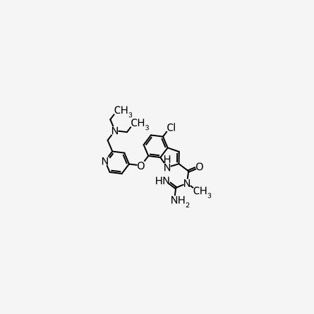 CCN(CC)Cc1cc(Oc2ccc(Cl)c3cc(C(=O)N(C)C(=N)N)[nH]c23)ccn1